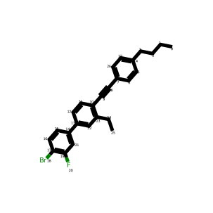 CCCCc1ccc(C#Cc2ccc(-c3ccc(Br)c(F)c3)cc2CC)cc1